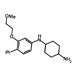 COCCOc1cc(NC2CCC(N)CC2)ccc1C(C)C